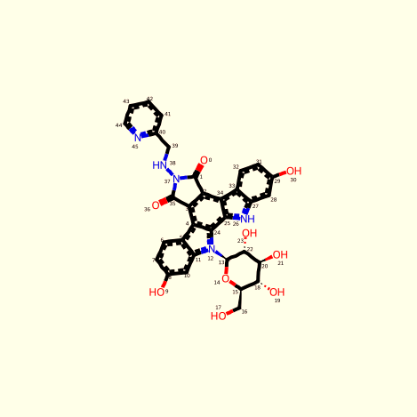 O=C1c2c(c3c4ccc(O)cc4n([C@@H]4O[C@H](CO)[C@@H](O)[C@H](O)[C@H]4O)c3c3[nH]c4cc(O)ccc4c23)C(=O)N1NCc1ccccn1